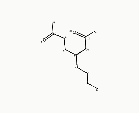 CCCCC(CCC(C)=O)CC(C)=O